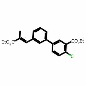 CCOC(=O)C(C)=Cc1cccc(-c2ccc(Cl)c(C(=O)OCC)c2)c1